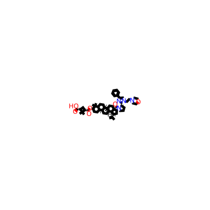 C=C(C)[C@@H]1CC[C@]2(C(=O)N3CCC[C@H]3c3nc(-c4ccccc4)cn3CCN3CCOCC3)CC[C@]3(C)[C@H](CCC4[C@@]5(C)CC[C@H](OC(=O)[C@H]6C[C@@H](C(=O)O)C6(C)C)C(C)(C)C5CC[C@]43C)C12